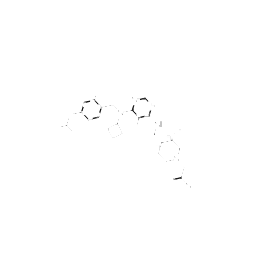 NC(=O)CN1CC[C@@H](CNc2ncnc(N(Cc3ccc(OC(F)F)cc3F)C3CCC3)c2F)[C@H](O)C1